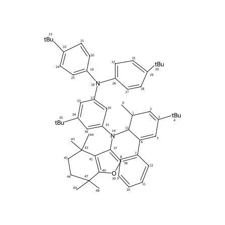 CC1C=C(C(C)(C)C)C=C(c2ccccc2)C1N(c1cc(N(c2ccc(C(C)(C)C)cc2)c2ccc(C(C)(C)C)cc2)cc(C(C)(C)C)c1)c1coc2c1C(C)(C)CCC2(C)C